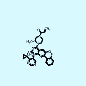 C=CC(=O)N1CCN(c2nc(=O)n(-c3cncnc3C3(C)CC3)c3nc(-c4ccccc4F)c(Cl)cc23)[C@@H](C)C1